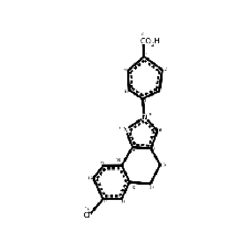 O=C(O)c1ccc(-n2cc3c(n2)-c2ccc(Cl)cc2CC3)cc1